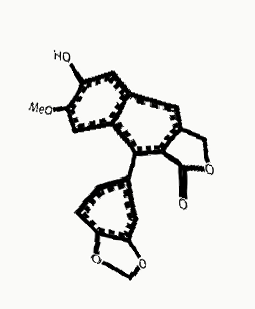 COc1cc2c(-c3ccc4c(c3)OCO4)c3c(cc2cc1O)COC3=O